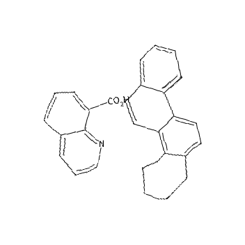 O=C(O)c1cccc2cccnc12.c1ccc2c(c1)ccc1c3c(ccc12)CCCC3